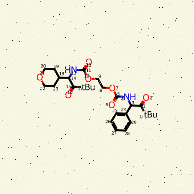 CC(C)(C)C(=O)C(NC(=O)OCCOC(=O)NC(C(=O)C(C)(C)C)C1CCOCC1)c1ccccc1